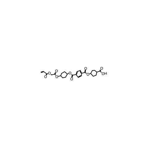 C=CC(=O)OCC(=O)OC1CCC(OC(=O)c2ccc(C(=O)OC3CCC(C(=O)O)CC3)cc2)CC1